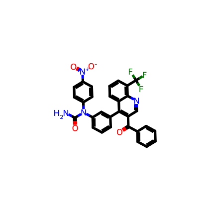 NC(=O)N(c1ccc([N+](=O)[O-])cc1)c1cccc(-c2c(C(=O)c3ccccc3)cnc3c(C(F)(F)F)cccc23)c1